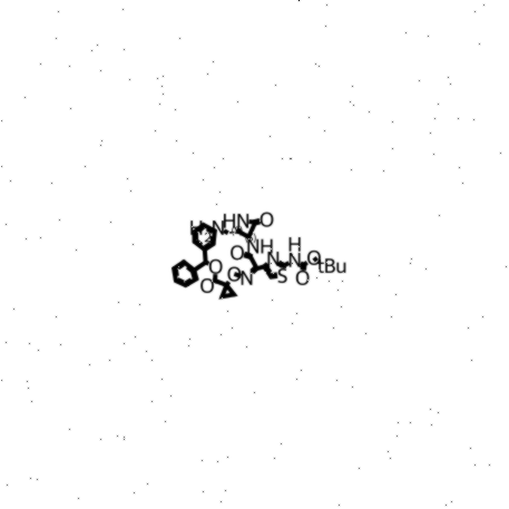 CC(C)(C)OC(=O)Nc1nc(C(=NOC2(C(=O)OC(c3ccccc3)c3ccccc3)CC2)C(=O)N[C@@H]2C(=O)N[C@H]2CN)cs1